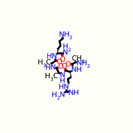 C[C@H](N)C(=O)N[C@@H](CCCNC(=N)N)C(=O)N[C@@H](C)C(=O)N[C@@H](C)C(=O)N[C@@H](CCCCN)C(N)=O